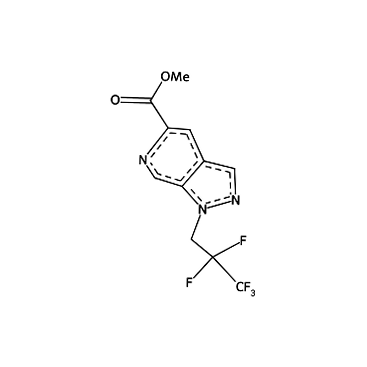 COC(=O)c1cc2cnn(CC(F)(F)C(F)(F)F)c2cn1